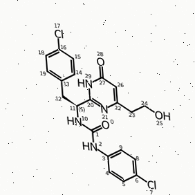 O=C(Nc1ccc(Cl)cc1)N[C@@H](Cc1ccc(Cl)cc1)c1nc(CCO)cc(=O)[nH]1